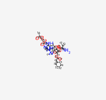 C=NC[C@@]1(c2ccc3c(NC(=O)OCOC(C)=O)ncnn23)O[C@H](COC(=O)CC2CCCCC2)[C@@H](OC(=O)[C@@H](N)C(C)C)[C@H]1O